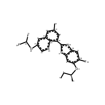 C[CH][C@H](C)Oc1cc2sc(-c3cc(C)cc4cc(OC(F)F)cnc34)nc2cc1F